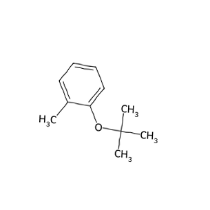 Cc1ccccc1OC(C)(C)C